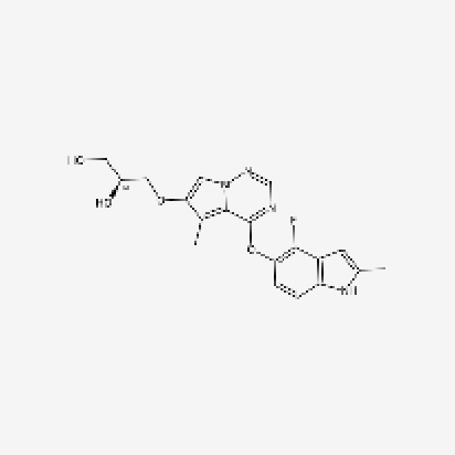 Cc1cc2c(F)c(Oc3ncnn4cc(OC[C@@H](O)CO)c(C)c34)ccc2[nH]1